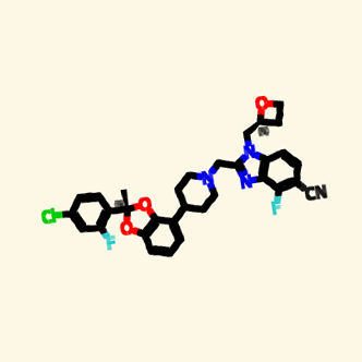 C[C@]1(c2ccc(Cl)cc2F)Oc2cccc(C3CCN(Cc4nc5c(F)c(C#N)ccc5n4C[C@@H]4CCO4)CC3)c2O1